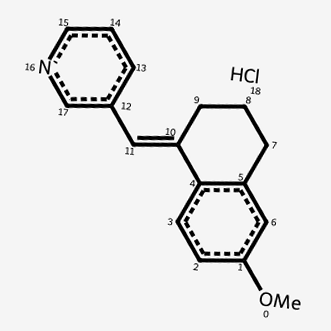 COc1ccc2c(c1)CCCC2=Cc1cccnc1.Cl